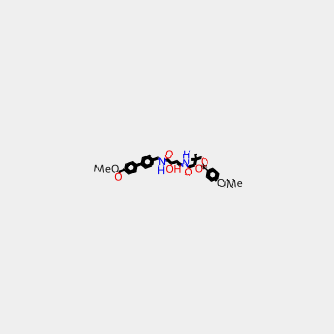 COC(=O)c1ccc(-c2ccc(CNC(=O)C(O)CCNC(=O)C3O[C@H](c4ccc(OC)cc4)OCC3(C)C)cc2)cc1